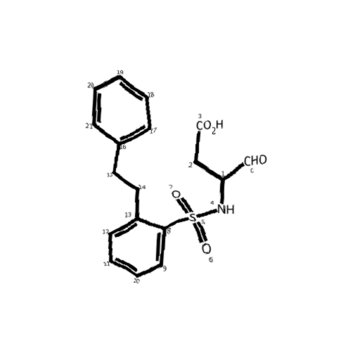 O=CC(CC(=O)O)NS(=O)(=O)c1ccccc1CCc1ccccc1